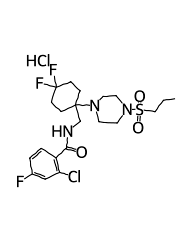 CCCS(=O)(=O)N1CCN(C2(CNC(=O)c3ccc(F)cc3Cl)CCC(F)(F)CC2)CC1.Cl